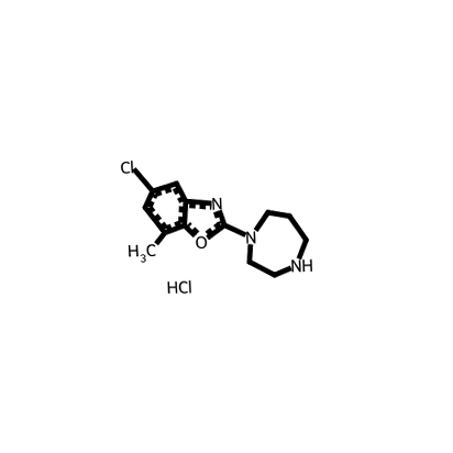 Cc1cc(Cl)cc2nc(N3CCCNCC3)oc12.Cl